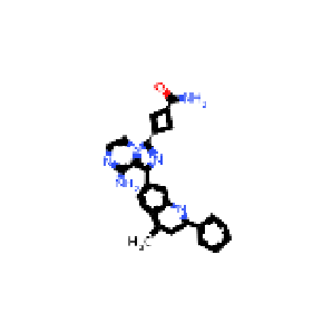 CC1CC(c2ccccc2)=Nc2cc(-c3nc([C@H]4C[C@H](C(N)=O)C4)n4ccnc(N)c34)ccc21